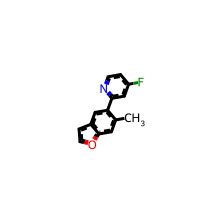 Cc1cc2occc2cc1-c1cc(F)ccn1